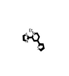 CCN1CCC(c2cccs2)CC1c1nccs1